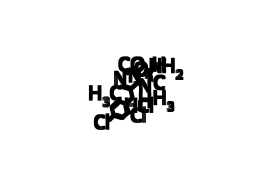 Cc1nc(C(=O)O)nc(N[C@@H](C)C(N)=O)c1Cc1ccc(Cl)cc1Cl.Cl